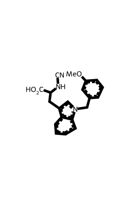 COc1cccc(Cn2cc(CC(NC#N)C(=O)O)c3ccccc32)c1